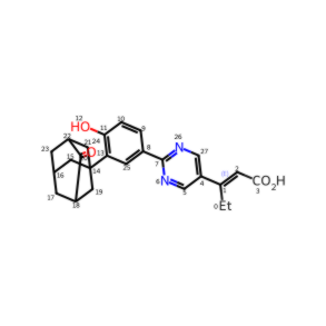 CC/C(=C\C(=O)O)c1cnc(-c2ccc(O)c(C34CC5CC(C3)C(=O)C(C5)C4)c2)nc1